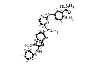 Cc1ccc(Nc2nccc(N(C)c3ccc4c(c3)nc(Nc3ccccc3)n4C)n2)cc1S(C)(=O)=O